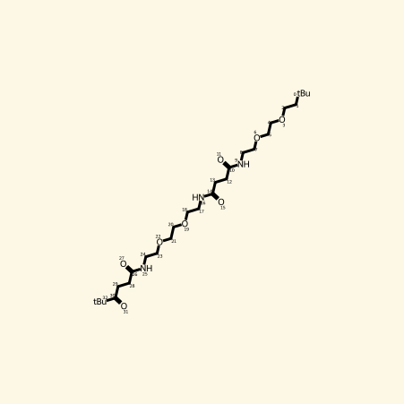 CC(C)(C)CCOCCOCCNC(=O)CCC(=O)NCCOCCOCCNC(=O)CCC(=O)C(C)(C)C